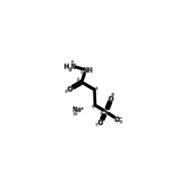 NNC(=O)CCS(=O)(=O)[O-].[Na+]